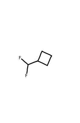 FC(F)[C]1CCC1